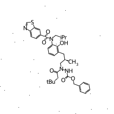 CC(C)CN(c1cccc(C[C@@H](C)CN(NC(=O)OCc2ccccc2)C(=O)CC(C)(C)C)c1O)S(=O)(=O)c1ccc2ncsc2c1